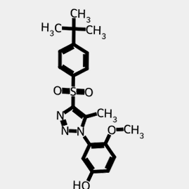 COc1ccc(O)cc1-n1nnc(S(=O)(=O)c2ccc(C(C)(C)C)cc2)c1C